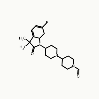 CC1(C)C(=O)N(C2CCN(C3CCN(C=O)CC3)CC2)C2CC(F)=CC=C21